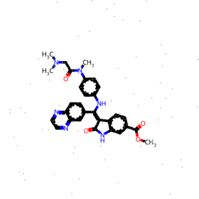 COC(=O)c1ccc2c(c1)NC(=O)C2=C(Nc1ccc(N(C)C(=O)CN(C)C)cc1)c1ccc2nccnc2c1